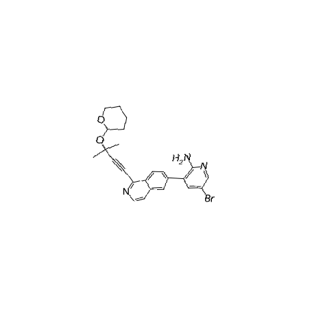 CC(C)(C#Cc1nccc2cc(-c3cc(Br)cnc3N)ccc12)OC1CCCCO1